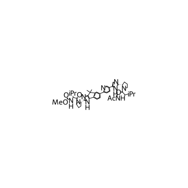 COC(=O)N[C@H](C(=O)N1CCC[C@H]1c1nc2c([nH]1)-c1ccc(-c3ccc(-c4cnc([C@@H]5CCCN5C(=O)[C@@H](NC(C)=O)C(C)C)[nH]4)cn3)cc1C2(C)C)C(C)C